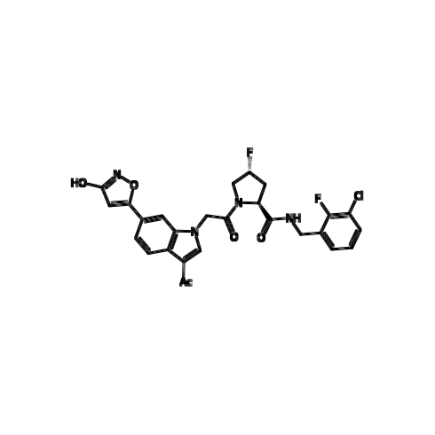 CC(=O)c1cn(CC(=O)N2C[C@H](F)C[C@H]2C(=O)NCc2cccc(Cl)c2F)c2cc(-c3cc(O)no3)ccc12